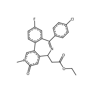 CCOC(=O)CC1N=C(c2ccc(Cl)cc2)c2cc(F)ccc2-c2cn(C)c(=O)cc21